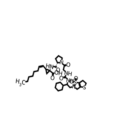 CCCCCC/C=C\C1C[C@]1(NC(=O)[C@@H]1CCCN1C(=O)CNC(=O)NC(CN1CC2=C(CCS2)S1(=O)=O)C1CCCCC1)C(=O)O